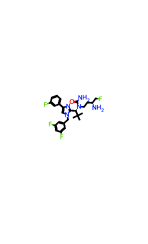 CC(C)(C)[C@H](c1nc(-c2cccc(F)c2)cn1Cc1cc(F)cc(F)c1)N(CC[C@@H](N)CF)C(N)=O